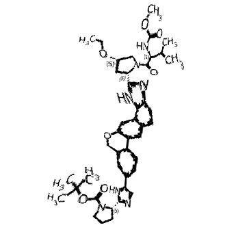 CCO[C@H]1C[C@@H](c2nc3ccc4cc5c(cc4c3[nH]2)OCc2cc(-c3cnc([C@@H]4CCCN4C(=O)OC(C)(C)C)[nH]3)ccc2-5)N(C(=O)[C@@H](NC(=O)OC)C(C)C)C1